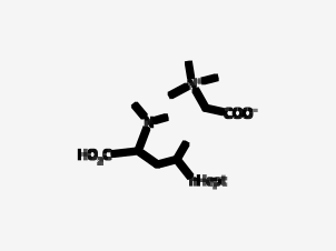 CCCCCCCC(C)CC(C(=O)O)N(C)C.C[N+](C)(C)CC(=O)[O-]